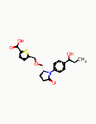 CCC(O)c1ccc(N2C(=O)CC[C@@H]2COCc2ccc(C(=O)O)s2)cc1